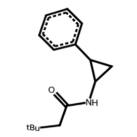 CC(C)(C)CC(=O)NC1CC1c1ccccc1